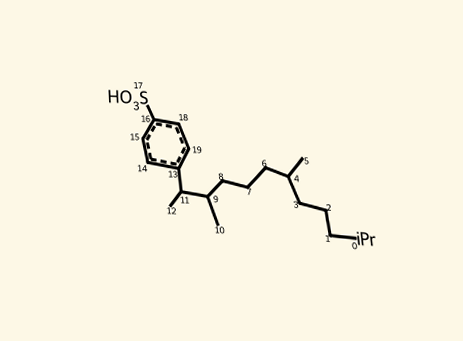 CC(C)CCCC(C)CCCC(C)C(C)c1ccc(S(=O)(=O)O)cc1